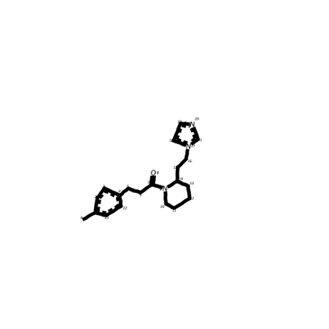 Cc1ccc(CCC(=O)N2CCCCC2CCn2ccnc2)cc1